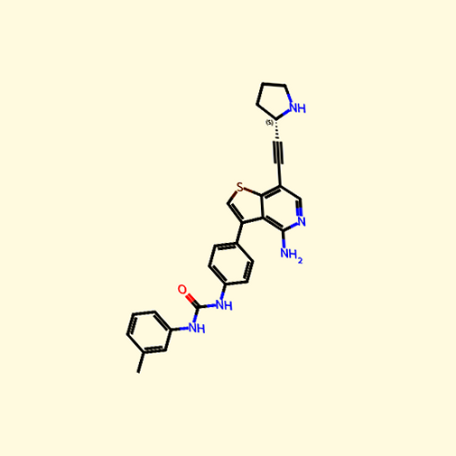 Cc1cccc(NC(=O)Nc2ccc(-c3csc4c(C#C[C@@H]5CCCN5)cnc(N)c34)cc2)c1